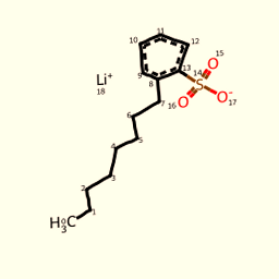 CCCCCCCCc1ccccc1S(=O)(=O)[O-].[Li+]